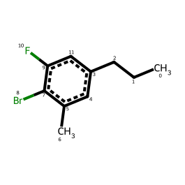 CCCc1cc(C)c(Br)c(F)c1